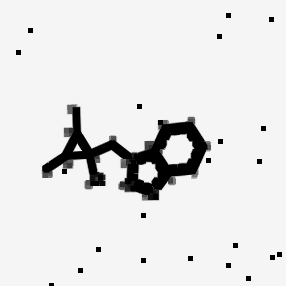 CCC1(Cn2nnc3ccccc32)C(C)C1C